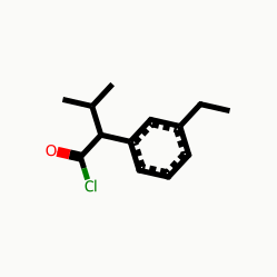 CCc1cccc(C(C(=O)Cl)C(C)C)c1